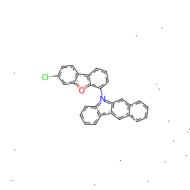 Clc1ccc2c(c1)oc1c(-n3c4ccccc4c4cc5ccccc5cc43)cccc12